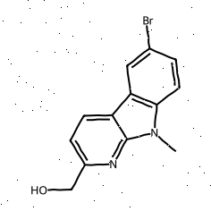 Cn1c2ccc(Br)cc2c2ccc(CO)nc21